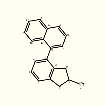 CC(C)C1[CH]c2cccc(-c3cccc4ccccc34)c2C1